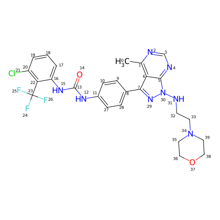 Cc1ncnc2c1c(-c1ccc(NC(=O)Nc3cccc(Cl)c3C(F)(F)F)cc1)nn2NCCN1CCOCC1